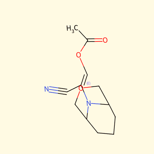 CC(=O)O/C=C(\C#N)N1C2CCCC1COC2